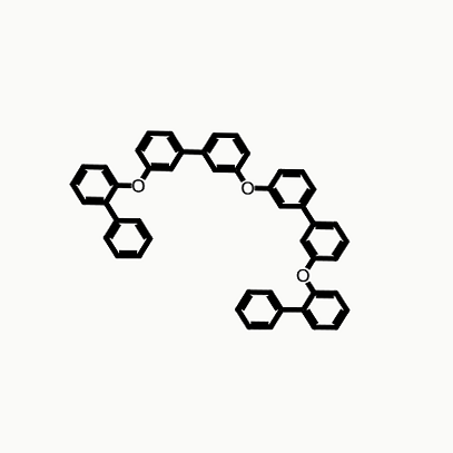 c1ccc(-c2ccccc2Oc2cccc(-c3cccc(Oc4cccc(-c5cccc(Oc6ccccc6-c6ccccc6)c5)c4)c3)c2)cc1